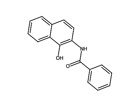 O=C(Nc1ccc2ccccc2c1O)c1ccccc1